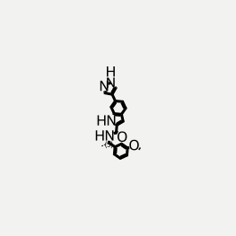 COc1cccc([C@H](C)NC(=O)c2cc3ccc(-c4cn[nH]c4)cc3[nH]2)c1